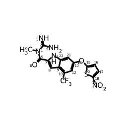 CN(C(=N)N)C(=O)c1cc2c(C(F)(F)F)cc(Oc3ccc([N+](=O)[O-])s3)cc2[nH]1